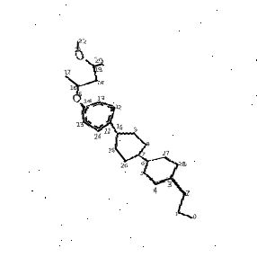 CCCC1CCC(C2CCC(c3ccc(OC(C)CC(C)OC)cc3)CC2)CC1